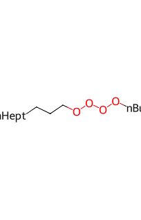 CCCCCCCCCCOOOOCCCC